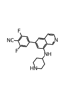 N#Cc1c(F)cc(-c2cc(NC3CCNCC3)c3cnccc3c2)cc1F